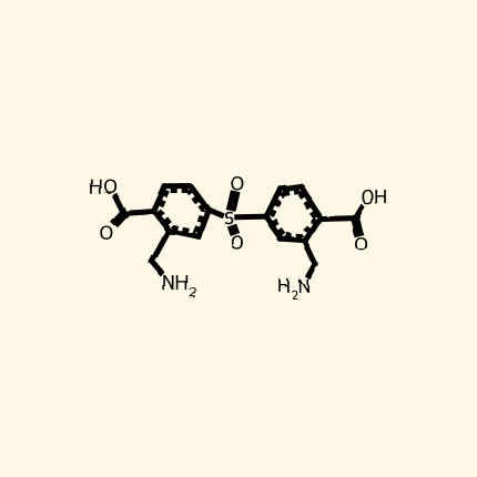 NCc1cc(S(=O)(=O)c2ccc(C(=O)O)c(CN)c2)ccc1C(=O)O